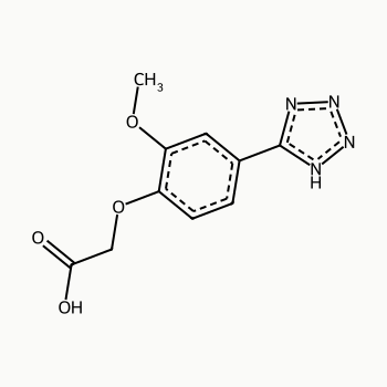 COc1cc(-c2nnn[nH]2)ccc1OCC(=O)O